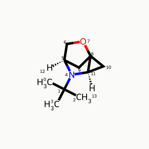 CC(C)(C)N1[C@H]2COC3(C2)C[C@@H]13